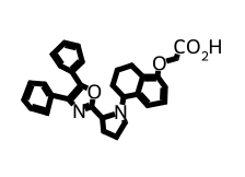 O=C(O)COc1cccc2c1CCCC2N1CCCC1c1nc(-c2ccccc2)c(-c2ccccc2)o1